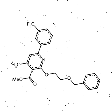 COC(=O)c1c(C)cc(-c2cccc(C(F)(F)F)c2)nc1OCCOCc1ccccc1